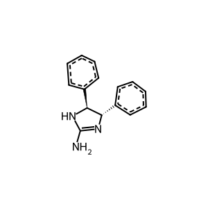 NC1=N[C@@H](c2ccccc2)[C@H](c2ccccc2)N1